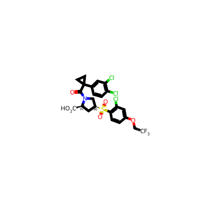 O=C(O)[C@@H]1C[C@@H](S(=O)(=O)c2ccc(OCC(F)(F)F)cc2Cl)CN1C(=O)C1(c2ccc(Cl)c(Cl)c2)CC1